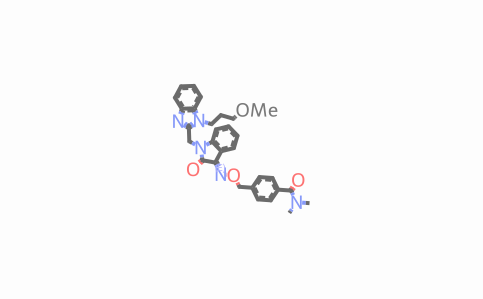 COCCCn1c(CN2C(=O)/C(=N/OCc3ccc(C(=O)N(C)C)cc3)c3ccccc32)nc2ccccc21